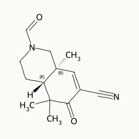 CC1(C)C(=O)C(C#N)=C[C@]2(C)CN(C=O)CC[C@@H]12